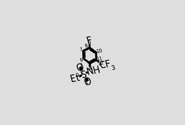 CCS(=O)(=O)Nc1c[c]c(F)cc1C(F)(F)F